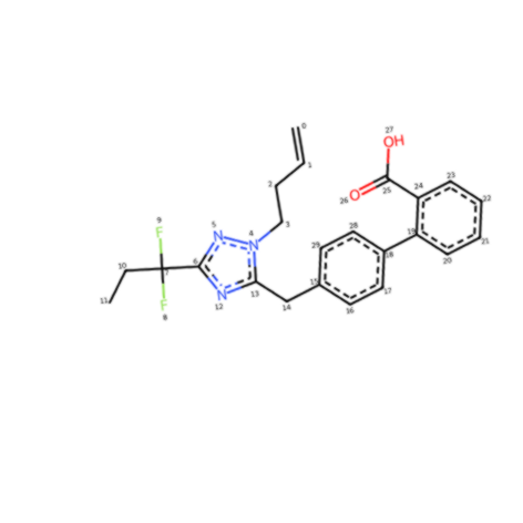 C=CCCn1nc(C(F)(F)CC)nc1Cc1ccc(-c2ccccc2C(=O)O)cc1